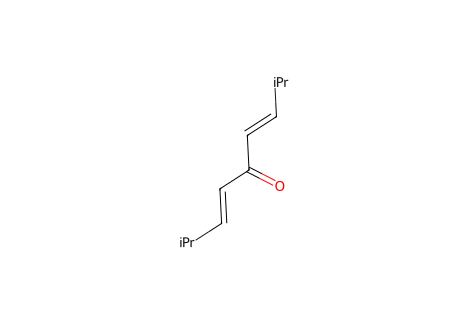 CC(C)/C=C/C(=O)/C=C/C(C)C